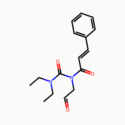 CCN(CC)C(=O)N(C[C]=O)C(=O)C=Cc1ccccc1